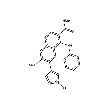 CCn1cc(-c2cc3c(Nc4ccccc4)c(C(=O)NC)cnc3cc2OC)cn1